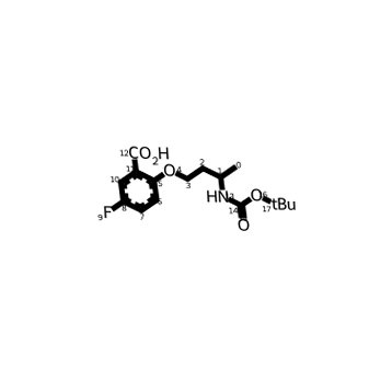 CC(CCOc1ccc(F)cc1C(=O)O)NC(=O)OC(C)(C)C